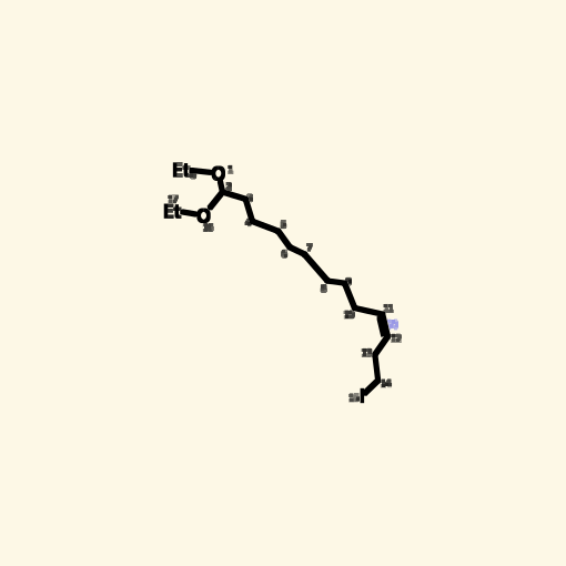 CCOC(CCCCCCCC/C=C\CCI)OCC